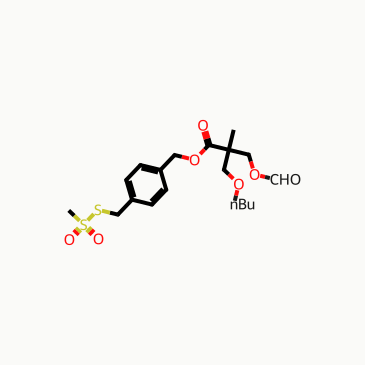 CCCCOCC(C)(COC=O)C(=O)OCc1ccc(CSS(C)(=O)=O)cc1